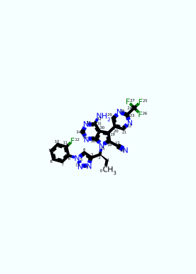 CC[C@@H](c1cn(-c2ccccc2F)nn1)n1c(C#N)c(-c2cnc(C(F)(F)F)nc2)c2c(N)ncnc21